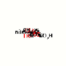 CCCCC(C)CC(O)C=CC1C(O)CC2Oc3c(OCC(=O)O)cccc3OC21